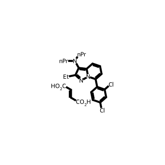 CCCN(CCC)c1c(CC)nn2c(-c3ccc(Cl)cc3Cl)cccc12.O=C(O)C=CC(=O)O